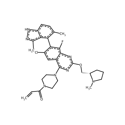 C=CC(=O)N1CCN(c2nc(OC[C@@H]3CCCN3C)nc3c(F)c(-c4c(C)ccc5[nH]nc(C)c45)c(Cl)cc23)CC1